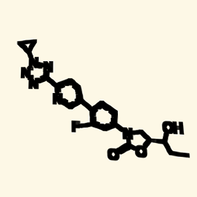 CCC(O)[C@@H]1CN(c2ccc(-c3ccc(-c4nnn(C5CC5)n4)nc3)c(F)c2)C(=O)O1